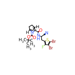 CC(C)(C)OC(=O)N1[C@@H]2CC[C@@H](C2)[C@H]1C(=O)NC(C#N)Cc1sc(Br)c(Br)c1F